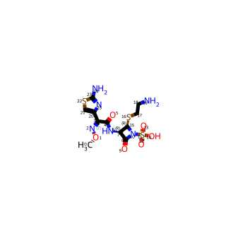 CO/N=C(\C(=O)N[C@@H]1C(=O)N(S(=O)(=O)O)[C@@H]1SCCN)c1csc(N)n1